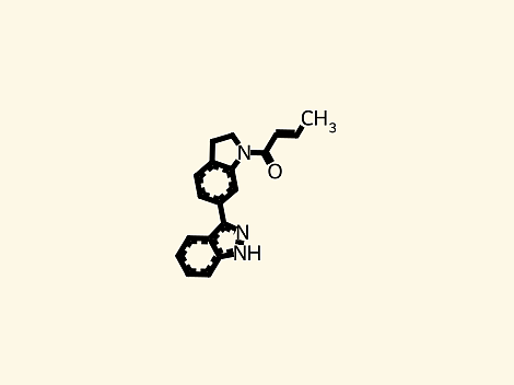 C/C=C/C(=O)N1CCc2ccc(-c3n[nH]c4ccccc34)cc21